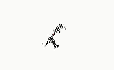 CC1CC2CC(C)(NC(=O)OCCOCCN[S+]([O-])c3cccc4c(N(C)C)cccc34)CC(NCC(=O)N3Cc4cc(F)c(F)cc4C3)(C1)C2